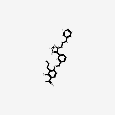 CCCc1c(OCc2cccc(-c3nnnn3CCCc3cccnc3)c2)ccc(C(C)=O)c1O